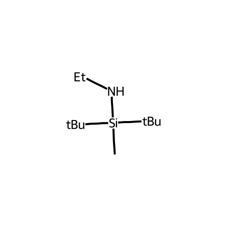 CCN[Si](C)(C(C)(C)C)C(C)(C)C